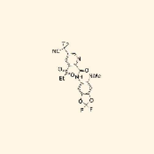 CCS(=O)(=O)c1cc(C2(C#N)CC2)cnc1C(=O)Nc1cc2c(cc1NC)OC(F)(F)O2